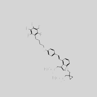 O=C(O)Cc1cn(CC2(CC(=O)O)CC2)c2cccc(/C=C/c3ccc(OCCCCc4c(F)c(F)c(F)c(F)c4F)cc3)c12